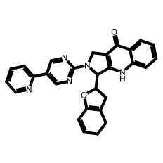 O=c1c2c([nH]c3ccccc13)C(C1CC3=C(C=CCC3)O1)N(c1ncc(-c3ccccn3)cn1)C2